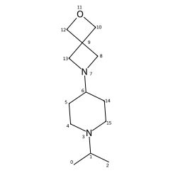 CC(C)N1CCC(N2CC3(COC3)C2)CC1